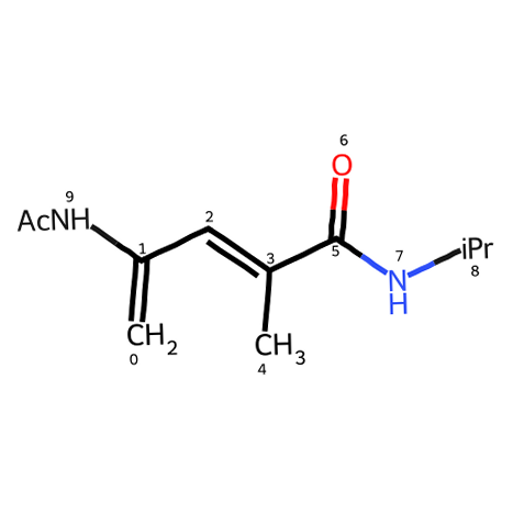 C=C(/C=C(\C)C(=O)NC(C)C)NC(C)=O